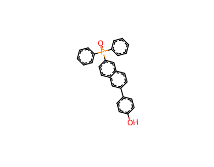 O=P(c1ccccc1)(c1ccccc1)c1ccc2cc(-c3ccc(O)cc3)ccc2c1